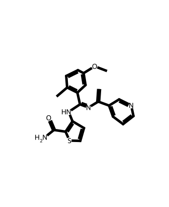 C=C(/N=C(/Nc1ccsc1C(N)=O)c1cc(OC)ccc1C)c1cccnc1